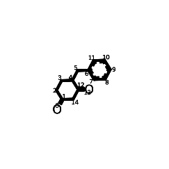 O=C1CCC(Cc2ccccc2)C(=O)C1